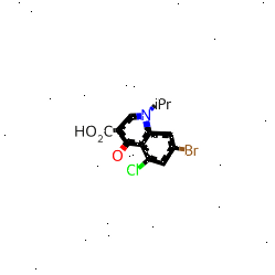 CC(C)n1cc(C(=O)O)c(=O)c2c(Cl)cc(Br)cc21